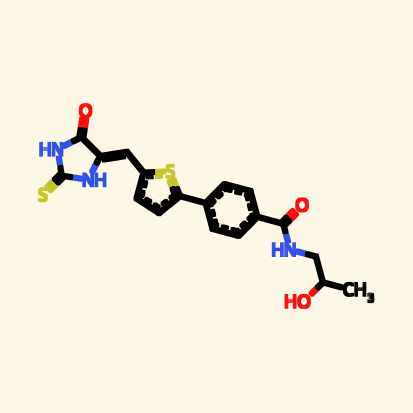 CC(O)CNC(=O)c1ccc(-c2ccc(/C=C3\NC(=S)NC3=O)s2)cc1